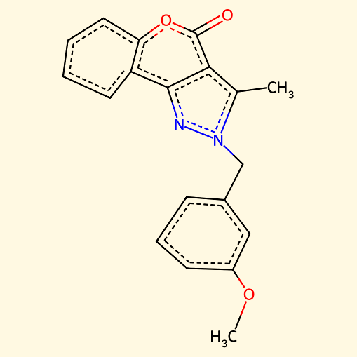 COc1cccc(Cn2nc3c(c2C)c(=O)oc2ccccc23)c1